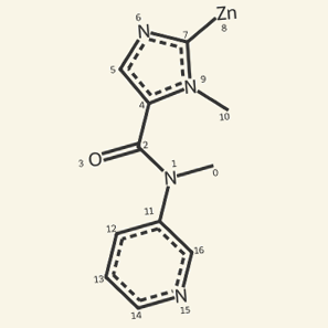 CN(C(=O)c1cn[c]([Zn])n1C)c1cccnc1